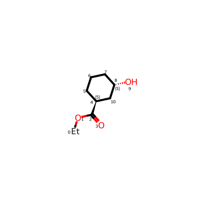 CCOC(=O)[C@H]1CCC[C@H](O)C1